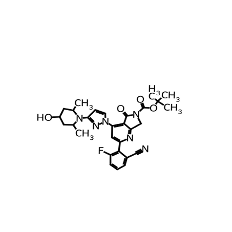 CC1CC(O)CC(C)N1c1ccn(-c2cc(-c3c(F)cccc3C#N)nc3c2C(=O)N(C(=O)OC(C)(C)C)C3)n1